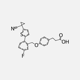 N#CC1(c2ccc(-c3ccc(F)cc3COc3ccc(CCC(=O)O)cc3)s2)CC1